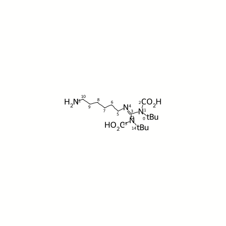 CC(C)(C)N(C(=O)O)C(=NCCCCCCN)N(C(=O)O)C(C)(C)C